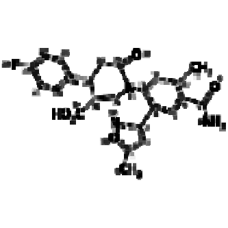 Cc1cc(-c2cc(C(N)=O)c(C)cc2N2C=C(C(=O)O)[C@H](c3ccc(F)cc3)CC2=O)no1